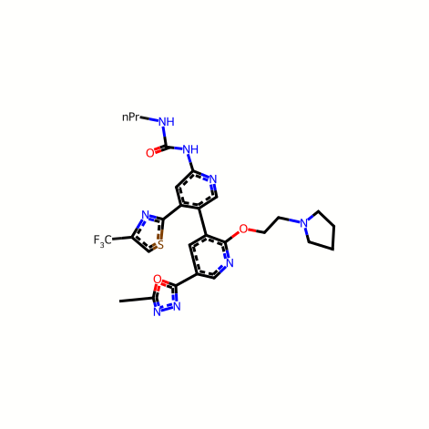 CCCNC(=O)Nc1cc(-c2nc(C(F)(F)F)cs2)c(-c2cc(-c3nnc(C)o3)cnc2OCCN2CCCC2)cn1